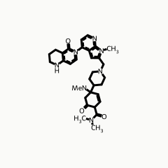 CNC1(C2CCN(Cc3cc4c(-n5ccc6c(c5=O)CCCN6)ccnc4n3C)CC2)C=CC(C(=O)N(C)C)C(=O)C1